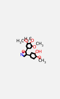 COc1ccc(-c2cnoc2-c2cc(OC)c(OC)c(OC)c2)cc1O